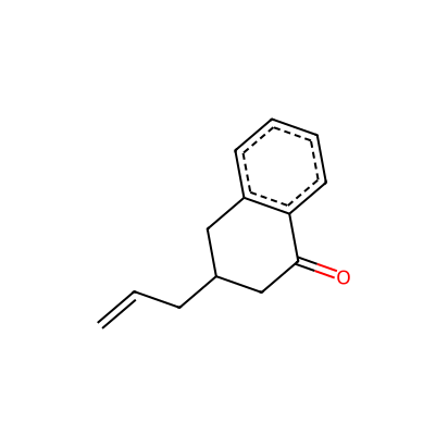 C=CCC1CC(=O)c2ccccc2C1